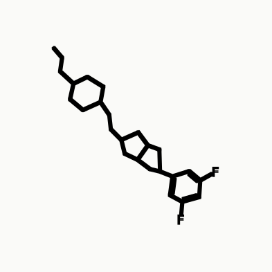 CCCC1CCC(CCC2CC3CC(c4cc(F)cc(F)c4)CC3C2)CC1